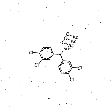 CC(=O)[O-].CC(=O)[O-].CC(=O)[O-].Clc1ccc([CH]([Sn+3])c2ccc(Cl)c(Cl)c2)cc1Cl